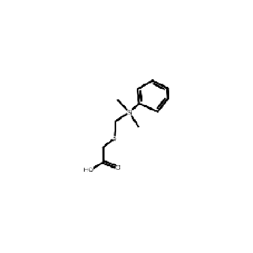 C[Si](C)(CSCC(=O)O)c1ccccc1